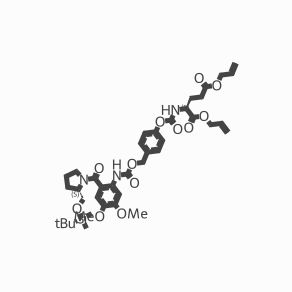 C=CCOC(=O)CC[C@H](NC(=O)Oc1ccc(COC(=O)Nc2cc(OC)c(OC)cc2C(=O)N2CCC[C@H]2CO[Si](C)(C)C(C)(C)C)cc1)C(=O)OCC=C